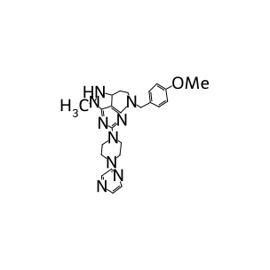 COc1ccc(CN2CCC3NN(C)c4nc(N5CCN(c6cnccn6)CC5)nc2c43)cc1